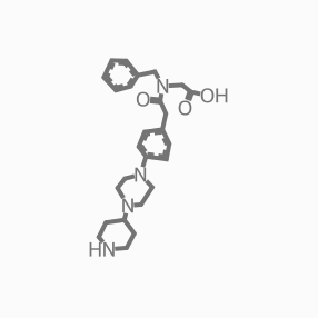 O=C(O)CN(Cc1ccccc1)C(=O)Cc1ccc(N2CCN(C3CCNCC3)CC2)cc1